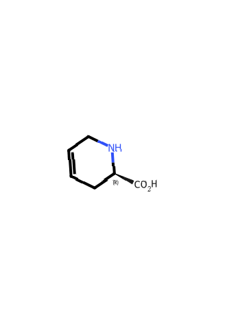 O=C(O)[C@H]1CC=CCN1